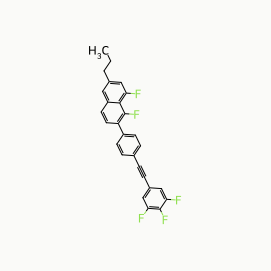 CCCc1cc(F)c2c(F)c(-c3ccc(C#Cc4cc(F)c(F)c(F)c4)cc3)ccc2c1